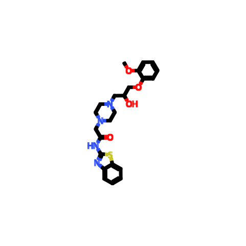 COc1ccccc1OCC(O)CN1CCN(CC(=O)Nc2nc3ccccc3s2)CC1